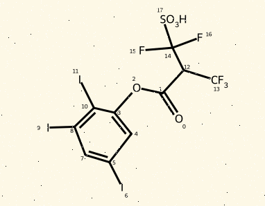 O=C(Oc1cc(I)cc(I)c1I)C(C(F)(F)F)C(F)(F)S(=O)(=O)O